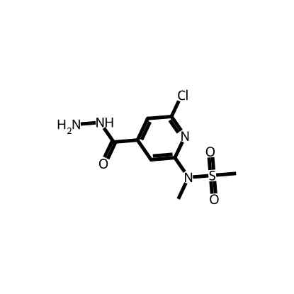 CN(c1cc(C(=O)NN)cc(Cl)n1)S(C)(=O)=O